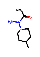 COC(=O)N(N)N1CCC(C)CC1